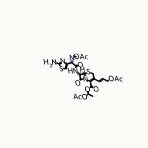 CC(=O)OC/C=C/C1=C(C(=O)OC(C)OC(C)=O)N2C(=O)[C@@H](NC(=O)/C(=N\OC(C)=O)c3csc(N)n3)[C@H]2SC1